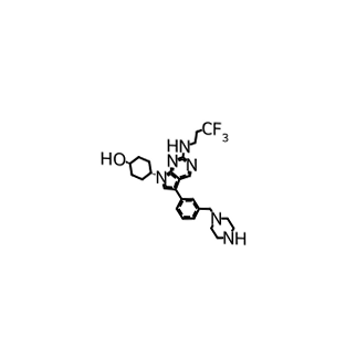 O[C@H]1CC[C@H](n2cc(-c3cccc(CN4CCNCC4)c3)c3cnc(NCCC(F)(F)F)nc32)CC1